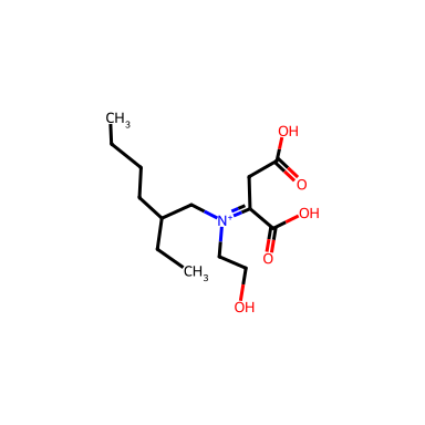 CCCCC(CC)C[N+](CCO)=C(CC(=O)O)C(=O)O